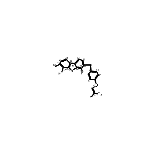 C/C(F)=C/Oc1ccc(Cc2ccc3c(sc4c(F)c(C)ccc43)c2F)cc1